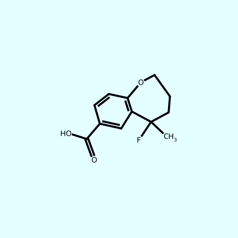 CC1(F)CCCOc2ccc(C(=O)O)cc21